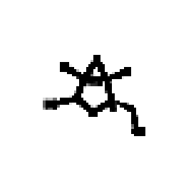 OC[C@@H]1OC(O)[C@@H]2O[C@H]12